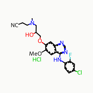 COc1cc2c(Nc3ccc(Cl)cc3F)ncnc2cc1OCC(O)CN(C)CCC#N.Cl